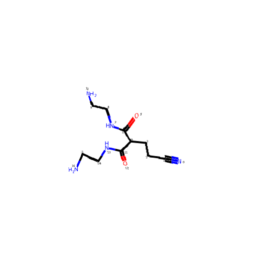 N#CCCC(C(=O)NCCN)C(=O)NCCN